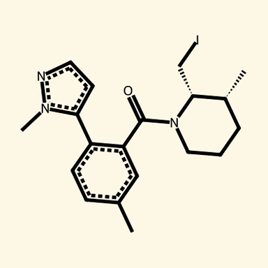 Cc1ccc(-c2ccnn2C)c(C(=O)N2CCC[C@@H](C)[C@H]2CI)c1